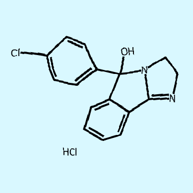 Cl.OC1(c2ccc(Cl)cc2)c2ccccc2C2=NCCN21